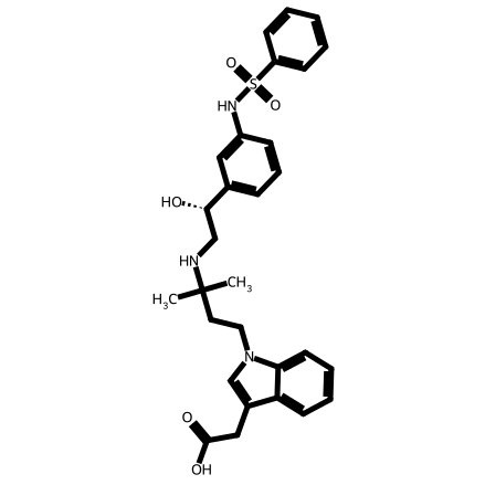 CC(C)(CCn1cc(CC(=O)O)c2ccccc21)NC[C@H](O)c1cccc(NS(=O)(=O)c2ccccc2)c1